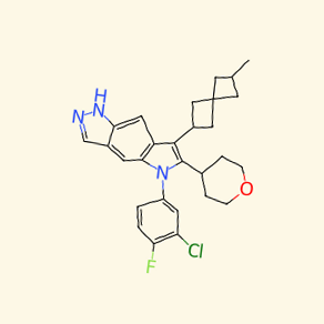 CC1CC2(C1)CC(c1c(C3CCOCC3)n(-c3ccc(F)c(Cl)c3)c3cc4cn[nH]c4cc13)C2